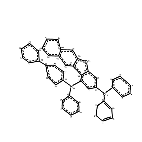 C1=CCCC(N(c2ccccc2)c2cc(N(c3ccccc3)c3ccc(-c4ccccc4)cc3)c3c(c2)oc2cc4ccccc4cc23)=C1